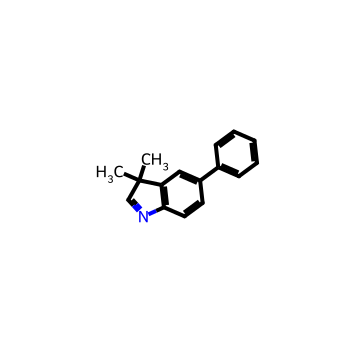 CC1(C)C=Nc2ccc(-c3ccccc3)cc21